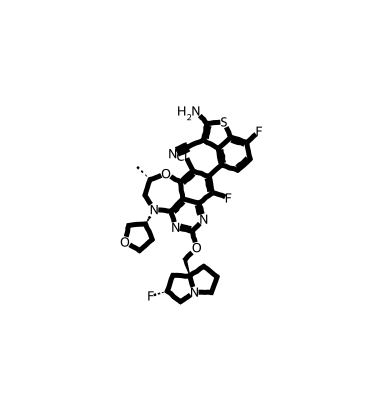 C[C@H]1CN([C@@H]2CCOC2)c2nc(OC[C@@]34CCCN3C[C@H](F)C4)nc3c(F)c(-c4ccc(F)c5sc(N)c(C#N)c45)c(Cl)c(c23)O1